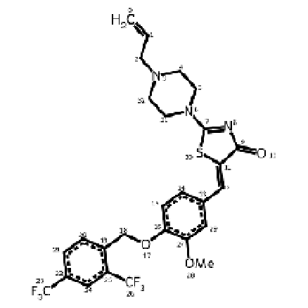 C=CCN1CCN(C2=NC(=O)C(=Cc3ccc(OCc4ccc(C(F)(F)F)cc4C(F)(F)F)c(OC)c3)S2)CC1